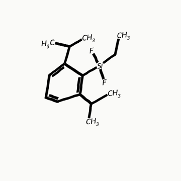 CC[Si](F)(F)c1c(C(C)C)cccc1C(C)C